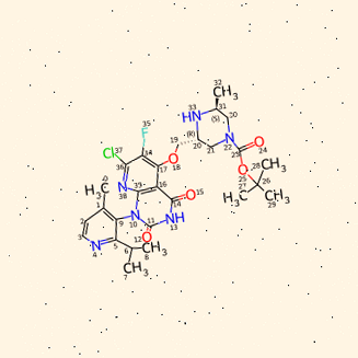 Cc1ccnc(C(C)C)c1-n1c(=O)[nH]c(=O)c2c(OC[C@H]3CN(C(=O)OC(C)(C)C)C[C@H](C)N3)c(F)c(Cl)nc21